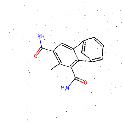 Cc1c(C(N)=O)cc2c(c1C(N)=O)-c1cccc-2c1